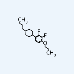 CCCCC1CCC(c2ccc(OCCC)c(F)c2F)CC1